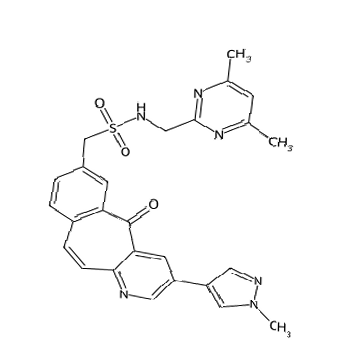 Cc1cc(C)nc(CNS(=O)(=O)Cc2ccc3ccc4ncc(-c5cnn(C)c5)cc4c(=O)c3c2)n1